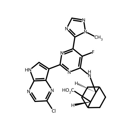 Cn1ncnc1-c1nc(-c2c[nH]c3ncc(Cl)nc23)nc(N[C@H]2C3CCC(CC3)[C@@H]2C(=O)O)c1F